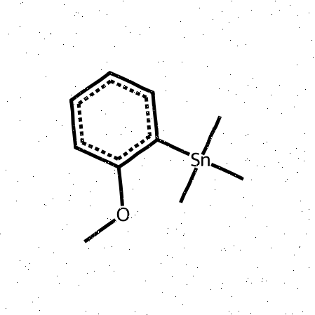 COc1cccc[c]1[Sn]([CH3])([CH3])[CH3]